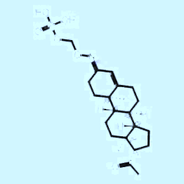 CC(=O)[C@H]1CC[C@H]2[C@@H]3CCC4=C/C(=N/OCOP(=O)(O)O)CC[C@]4(C)[C@H]3CC[C@]12C